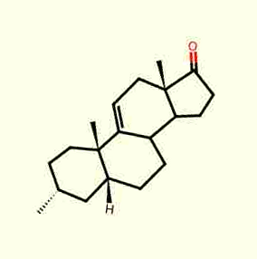 C[C@@H]1CC[C@]2(C)C3=CC[C@]4(C)C(=O)CCC4C3CC[C@@H]2C1